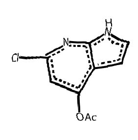 CC(=O)Oc1cc(Cl)nc2[nH]ccc12